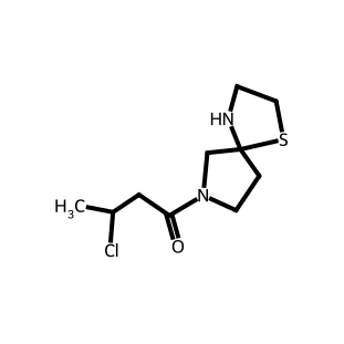 CC(Cl)CC(=O)N1CCC2(C1)NCCS2